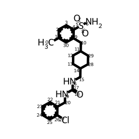 Cc1ccc(S(N)(=O)=O)c(CC2CCC(CNC(=O)NCc3ccccc3Cl)CC2)c1